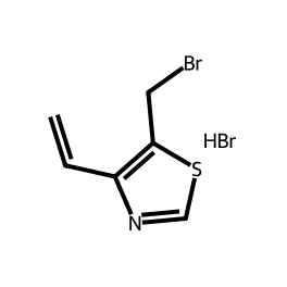 Br.C=Cc1ncsc1CBr